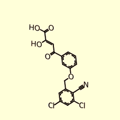 N#Cc1c(Cl)cc(Cl)cc1COc1cccc(C(=O)C=C(O)C(=O)O)c1